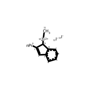 CCCC1=Cc2ccccc2[CH]1[Zr+2][CH3].[I-].[I-]